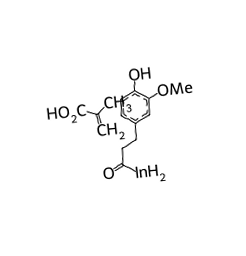 C=C(C)C(=O)O.COc1cc(CC[C](=O)[InH2])ccc1O